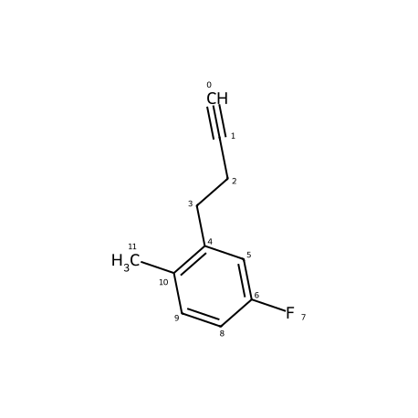 C#CCCc1cc(F)ccc1C